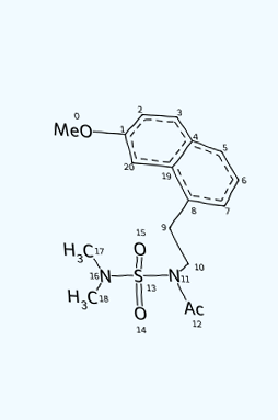 COc1ccc2cccc(CCN(C(C)=O)S(=O)(=O)N(C)C)c2c1